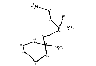 CC(N)(CCN)CCC1([SiH3])CCCCO1